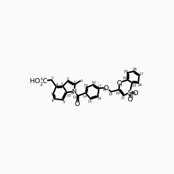 Cc1cc2c(CC(=O)O)cccc2n1C(=O)c1ccc(OCC2=CS(=O)(=O)c3ccccc3O2)cc1